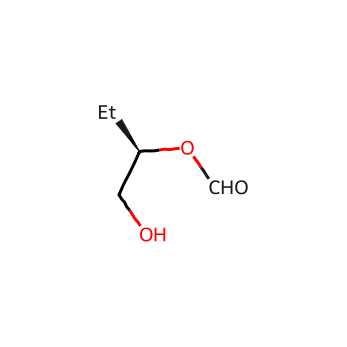 CC[C@H](CO)OC=O